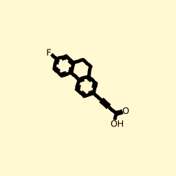 O=C(O)C#Cc1ccc2c(c1)CCc1cc(F)ccc1-2